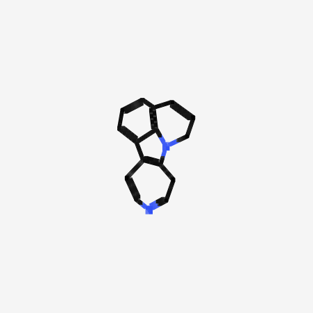 C1=Cc2cccc3c4c(n(c23)C1)CC=NC=C4